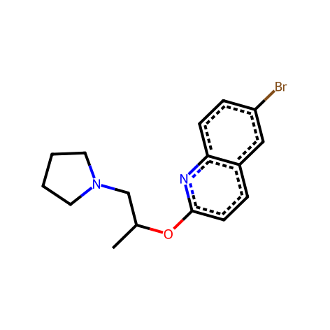 CC(CN1CCCC1)Oc1ccc2cc(Br)ccc2n1